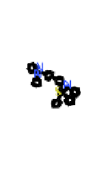 c1ccc(-c2sc3c(c(-c4ccccc4)nc4ccc(-c5ccc(-c6nc7ccccc7n6-c6ccccc6)cc5)cc43)c2-c2ccccc2)cc1